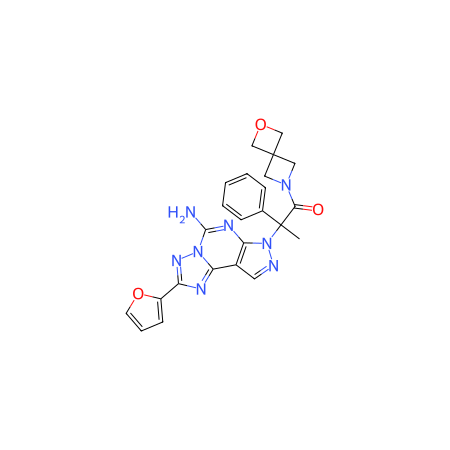 CC(C(=O)N1CC2(COC2)C1)(c1ccccc1)n1ncc2c1nc(N)n1nc(-c3ccco3)nc21